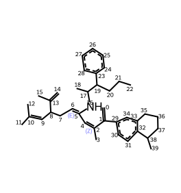 C=C(/C(C)=C\C(=C/CC(C=C(C)C)C(=C)C)NC(C)C(CCC)c1ccccc1)c1ccc2c(c1)CCCC2C